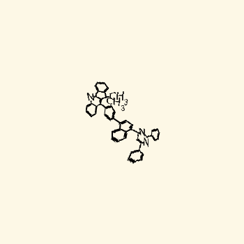 CC1(C)c2ccccc2-c2nc3ccccc3c(-c3ccc(-c4ccc(-c5cc(-c6ccccc6)nc(-c6ccccc6)n5)c5ccccc45)cc3)c21